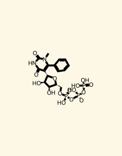 Cn1c(-c2ccccc2)c([C@@H]2O[C@H](COP(=O)(O)OP(=O)(O)OP(=O)(O)O)[C@@H](O)[C@H]2O)c(=O)[nH]c1=O